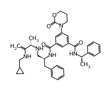 C=C(NCC1CC1)[C@H](C)NC[C@H](Cc1ccccc1)NC(=O)c1cc(C(=O)N[C@H](C)c2ccccc2)cc(N2CCCOC2=O)c1